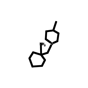 CC1CCN(CC2(N)CCCCC2)CC1